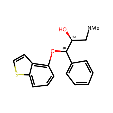 CNC[C@H](O)[C@H](Oc1cccc2sccc12)c1ccccc1